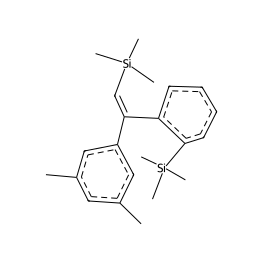 Cc1cc(C)cc(C(=C[Si](C)(C)C)c2ccccc2[Si](C)(C)C)c1